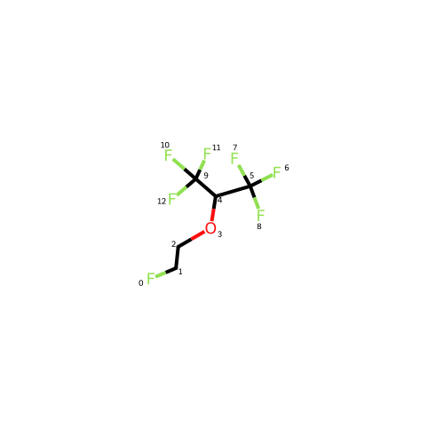 FCCOC(C(F)(F)F)C(F)(F)F